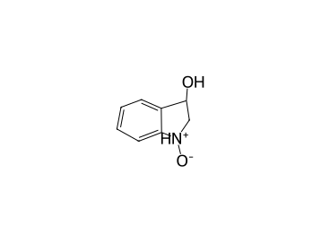 [O-][NH+]1CC(O)c2ccccc21